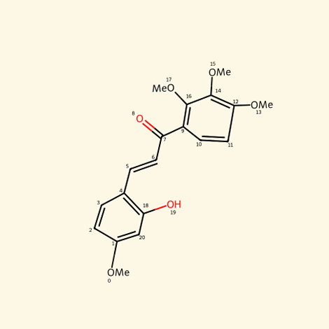 COc1ccc(/C=C/C(=O)c2ccc(OC)c(OC)c2OC)c(O)c1